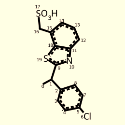 CC(c1c[c]c(Cl)cc1)c1nc2cccc(CS(=O)(=O)O)c2s1